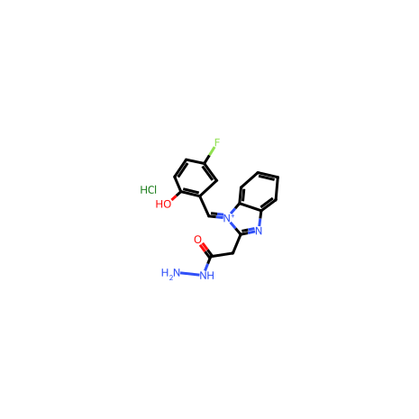 Cl.NNC(=O)CC1=Nc2ccccc2[N+]1=Cc1cc(F)ccc1O